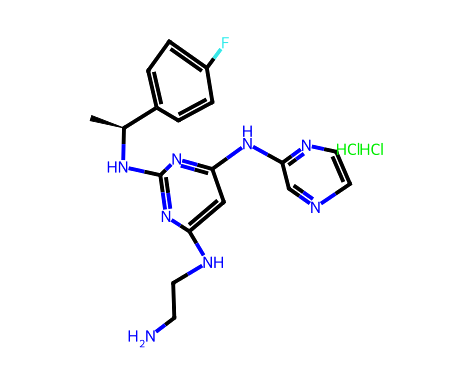 C[C@H](Nc1nc(NCCN)cc(Nc2cnccn2)n1)c1ccc(F)cc1.Cl.Cl